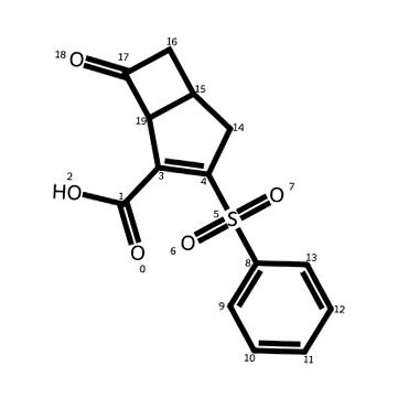 O=C(O)C1=C(S(=O)(=O)c2ccccc2)CC2CC(=O)C12